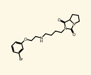 O=C1C2CCCN2C(=O)N1CCCCNCCOc1cccc(Br)c1